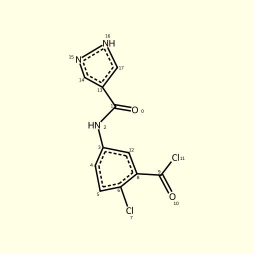 O=C(Nc1ccc(Cl)c(C(=O)Cl)c1)c1cn[nH]c1